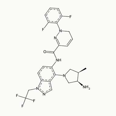 C[C@@H]1CN(c2c(NC(=O)C3=NN(c4c(F)cccc4F)CC=C3)ccc3c2cnn3CC(F)(F)F)C[C@@H]1N